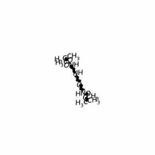 CC(C)(C)OC(=O)NCCCNCCCCOCCCNC(=O)OC(C)(C)C